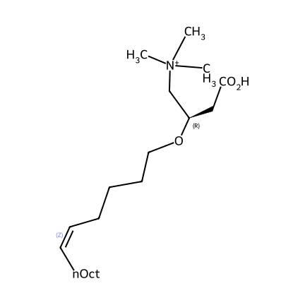 CCCCCCCC/C=C\CCCCO[C@H](CC(=O)O)C[N+](C)(C)C